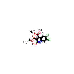 CCOC(=O)c1c(O)nc2cc(Cl)c(Cl)cc2c1C(OC)OC